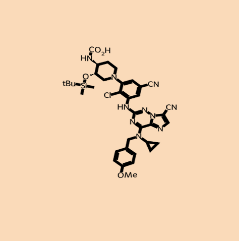 COc1ccc(CN(c2nc(Nc3cc(C#N)cc(N4CC[C@H](NC(=O)O)[C@@H](O[Si](C)(C)C(C)(C)C)C4)c3Cl)nn3c(C#N)cnc23)C2CC2)cc1